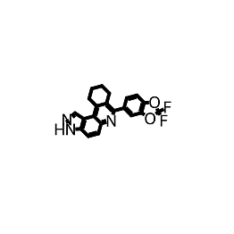 FC1(F)Oc2ccc(-c3nc4ccc5[nH]ncc5c4c4c3CCCC4)cc2O1